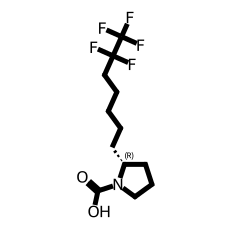 O=C(O)N1CCC[C@H]1CCCCCC(F)(F)C(F)(F)F